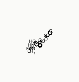 CC(F)(F)CC(=O)N[C@H]1Cc2cccc(C(=O)OCOC(=O)CC3CCOCC3)c2OB1O